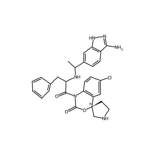 CC(NC(Cc1ccccc1)C(=O)N1C(=O)O[C@]2(CCNC2)c2cc(Cl)ccc21)c1ccc2c(N)n[nH]c2c1